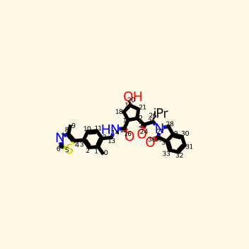 Cc1cc(-c2scnc2C)ccc1CNC(=O)C1C[C@@H](O)CC1C(=O)[C@H](C(C)C)N1Cc2ccccc2C1=O